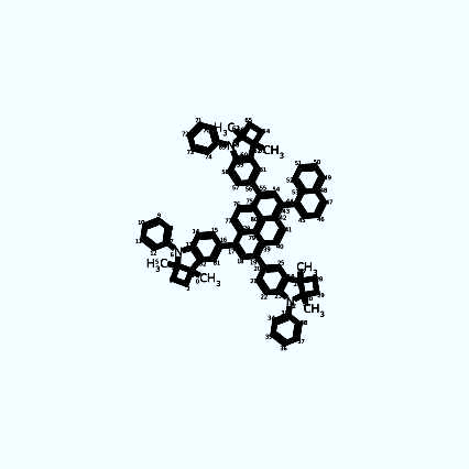 CC12CCC1(C)N(c1ccccc1)c1ccc(-c3cc(-c4ccc5c(c4)C4(C)CCC4(C)N5c4ccccc4)c4ccc5c(-c6cccc7ccccc67)cc(-c6ccc7c(c6)C6(C)CCC6(C)N7c6ccccc6)c6ccc3c4c65)cc12